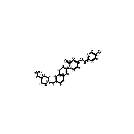 NCC1CCN(Cc2ccc3c(c2)CCC(n2ccc(OCc4ccc(Cl)cn4)cc2=O)=C3)CC1